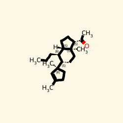 CCC[C@H]1[C@@H]2CC[C@H](C(C)=O)[C@@]2(C)CC[C@@H]1[C@]1(C)C=C(C)CC1